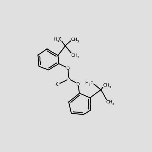 CC(C)(C)c1ccccc1OP(Cl)Oc1ccccc1C(C)(C)C